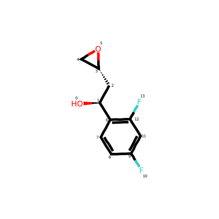 O[C@@H](C[C@@H]1CO1)c1ccc(F)cc1F